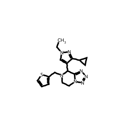 CCn1cc(C2c3nnnn3CCN2Cc2cccs2)c(C2CC2)n1